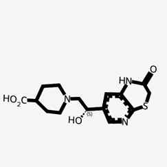 O=C1CSc2ncc([C@H](O)CN3CCC(C(=O)O)CC3)cc2N1